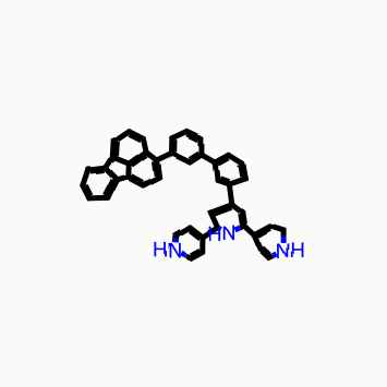 C1=CC(C2=CC(c3cccc(-c4cccc(-c5ccc6c7c(cccc57)-c5ccccc5-6)c4)c3)=CC(C3=CCNC=C3)N2)=CCN1